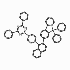 c1ccc(-c2nc(-c3ccccc3)nc(-c3ccc(-c4c(-c5ccc6c(c5)C(c5ccccc5)(c5ccccc5)c5ccccc5-6)ccc5ccccc45)cc3)n2)cc1